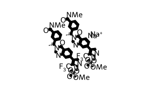 CNC(=O)c1cccc([C@@H](C)n2cnc3cc(-c4cnn(OP(=O)([O-])OC)c4C(F)(F)F)ccc3c2=O)c1.CNC(=O)c1cccc([C@@H](C)n2cnc3cc(-c4cnn(OP(=O)([O-])OC)c4C(F)(F)F)ccc3c2=O)c1.[Na+].[Na+]